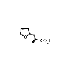 C=C(CC1C=CCO1)C(=O)O